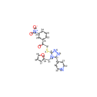 O=C(CSc1nnc(-c2ccncc2)n1Cc1ccco1)c1cccc([N+](=O)[O-])c1